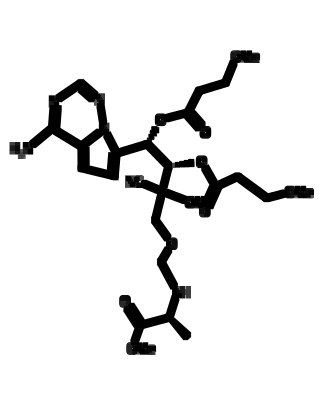 COCCC(=O)O[C@@H](c1ccc2c(N)ncnn12)[C@H](OC(=O)CCOC)C(C#N)(COCN[C@@H](C)C(=O)OC)OC